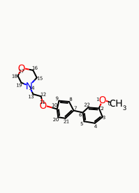 COc1cccc(-c2ccc(OCCN3CCOCC3)cc2)c1